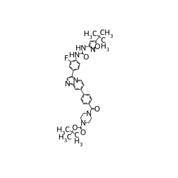 CC(C)(C)OC(=O)N1CCN(C(=O)c2ccc(-c3ccn4c(-c5ccc(NC(=O)Nc6cc(C(C)(C)C)on6)c(F)c5)cnc4c3)cc2)CC1